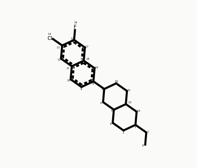 CCC1CCC2CC(c3ccc4cc(Cl)c(F)cc4c3)CCC2C1